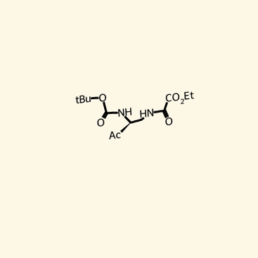 CCOC(=O)C(=O)NC[C@H](NC(=O)OC(C)(C)C)C(C)=O